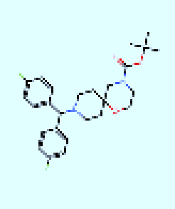 CC(C)(C)OC(=O)N1CCOC2(CCN(C(c3ccc(F)cc3)c3ccc(F)cc3)CC2)C1